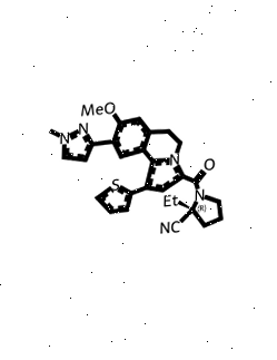 CC[C@]1(C#N)CCCN1C(=O)c1cc(-c2cccs2)c2n1CCc1cc(OC)c(-c3ccn(C)n3)cc1-2